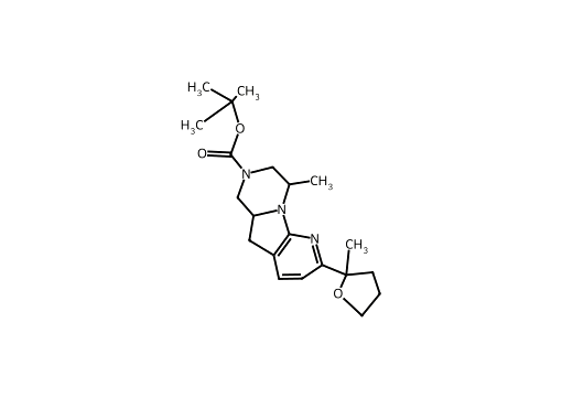 CC1CN(C(=O)OC(C)(C)C)CC2Cc3ccc(C4(C)CCCO4)nc3N12